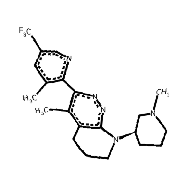 Cc1cc(C(F)(F)F)cnc1-c1nnc2c(c1C)CCCN2[C@@H]1CCCN(C)C1